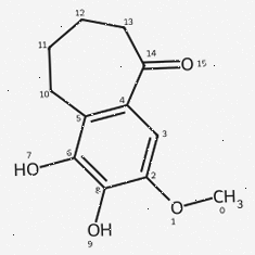 COc1cc2c(c(O)c1O)CCCCC2=O